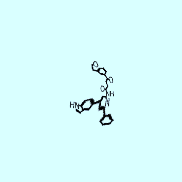 O=C(CCC(=O)c1ccc2c(c1)CCO2)Nc1cc(-c2ccc3[nH]ccc3c2)cc(-c2ccccc2)n1